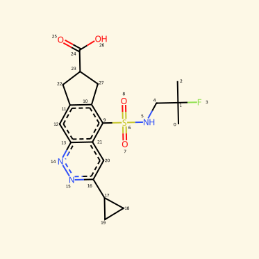 CC(C)(F)CNS(=O)(=O)c1c2c(cc3nnc(C4CC4)cc13)CC(C(=O)O)C2